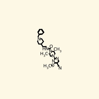 COc1nc(N2C[C@@H](C)N(C(=O)NCCC3CCN(Cc4ccccc4)CC3)[C@@H](C)C2)ncc1C#N